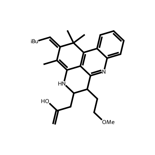 C=C(O)CC1NC2=C(C)/C(=C\C(C)CC)C(C)(C)c3c2c(nc2ccccc32)C1CCOC